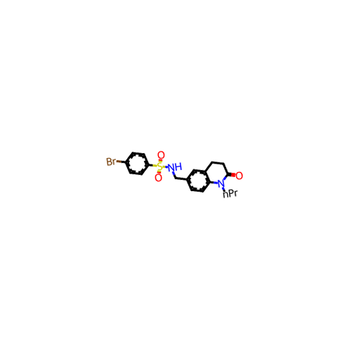 CCCN1C(=O)CCc2cc(CNS(=O)(=O)c3ccc(Br)cc3)ccc21